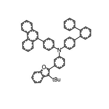 CC(C)(C)c1c(-c2cccc(N(c3ccc(-c4ccccc4-c4ccccc4)cc3)c3ccc(-c4cc5ccccc5c5ccccc45)cc3)c2)oc2ccccc12